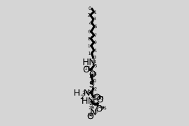 CCCCCCCCCCCCCCNCC(=O)OCCSC[C@H](N)C(=O)N[C@@H](CN=O)C(=O)OC